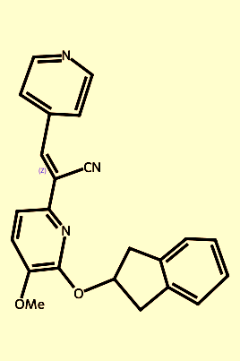 COc1ccc(/C(C#N)=C/c2ccncc2)nc1OC1Cc2ccccc2C1